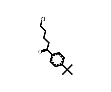 CC(C)(C)c1ccc(C(=O)CCCCCl)cc1